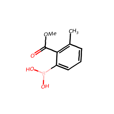 COC(=O)c1c(C)cccc1B(O)O